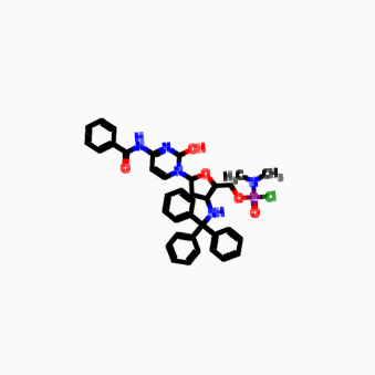 CN(C)P(=O)(Cl)OCC1OC(N2C=CC(NC(=O)c3ccccc3)=NC2O)CC1NC(c1ccccc1)(c1ccccc1)c1ccccc1